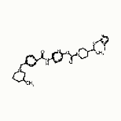 CC1CCCN(Cc2ccc(C(=O)Nc3ccc(OC(=O)N4CCC(C(C)Sc5ncc[nH]5)CC4)nc3)cc2)C1